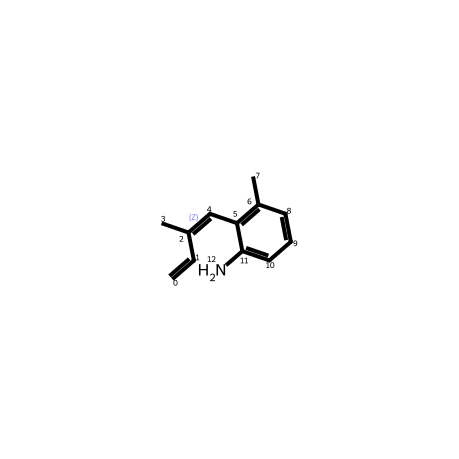 C=C/C(C)=C\c1c(C)cccc1N